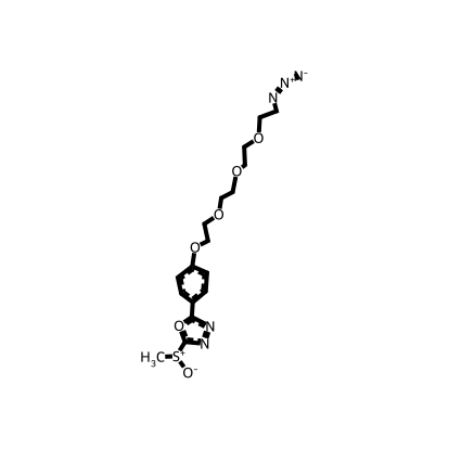 C[S+]([O-])c1nnc(-c2ccc(OCCOCCOCCOCCN=[N+]=[N-])cc2)o1